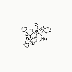 O=C(NC(Cc1ccccc1)C(=O)N([C@H]1CCCNCC1=O)S(=O)(=O)c1ccccn1)c1cc2ccccc2o1